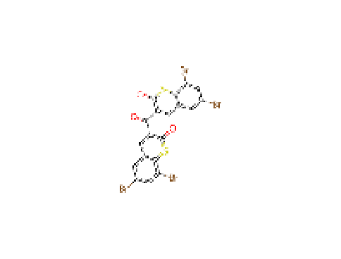 O=C(c1cc2cc(Br)cc(Br)c2sc1=O)c1cc2cc(Br)cc(Br)c2sc1=O